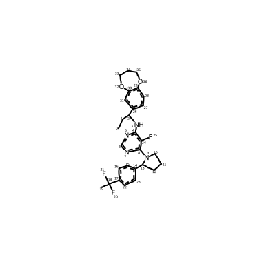 CCC(Nc1ncnc(N2CCCC2c2ccc(C(C)(F)F)cc2)c1F)c1ccc2c(c1)OCCCO2